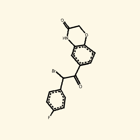 O=C1COc2ccc(C(=O)C(Br)c3ccc(F)cc3)cc2N1